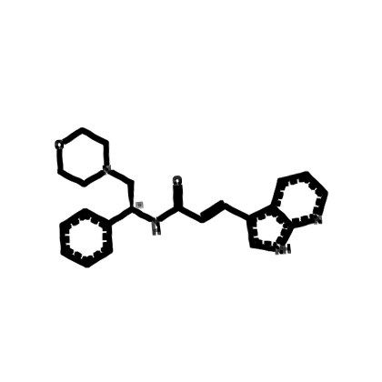 O=C(C=Cc1c[nH]c2ncccc12)N[C@H](CN1CCOCC1)c1ccccc1